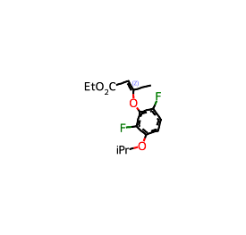 CCOC(=O)/C=C(/C)Oc1c(F)ccc(OC(C)C)c1F